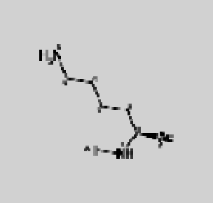 CC(=O)[C@H](CCCCN)NI